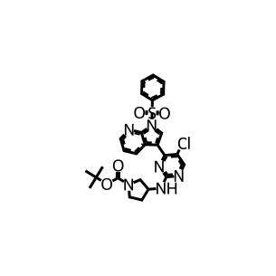 CC(C)(C)OC(=O)N1CCC(Nc2ncc(Cl)c(-c3cn(S(=O)(=O)c4ccccc4)c4ncccc34)n2)C1